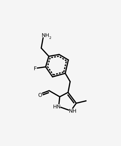 CC1=C(Cc2ccc(CN)c(F)c2)C(C=O)NN1